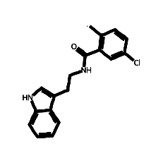 [CH2]c1ccc(Cl)cc1C(=O)NCCc1c[nH]c2ccccc12